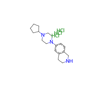 Cl.Cl.Cl.c1cc2c(cc1N1CCN(C3CCCC3)CC1)CCNC2